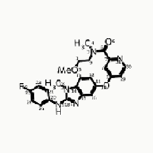 COCCN(C)C(=O)c1cc(Oc2ccc3c(c2)nc(Nc2ccc(F)cc2)n3C)ccn1